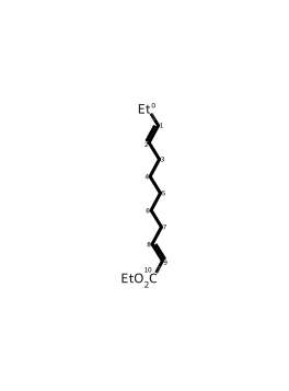 CCC=CCCCCCC=CC(=O)OCC